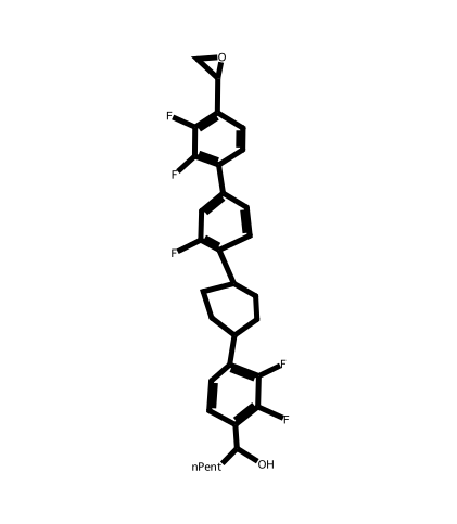 CCCCCC(O)c1ccc(C2CCC(c3ccc(-c4ccc(C5CO5)c(F)c4F)cc3F)CC2)c(F)c1F